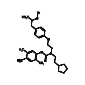 CCOC(Cc1ccc(OCCN(CCC2CCCC2)C(=O)Oc2cc(C)c(C)cc2C)cc1)C(=O)O